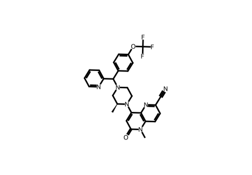 C[C@H]1CN(C(c2ccc(OC(F)(F)F)cc2)c2ccccn2)CCN1c1cc(=O)n(C)c2ccc(C#N)nc12